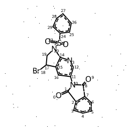 O=C1c2ccccc2C(=O)N1c1cnc2c(c1)C(Br)CN2S(=O)(=O)c1ccccc1